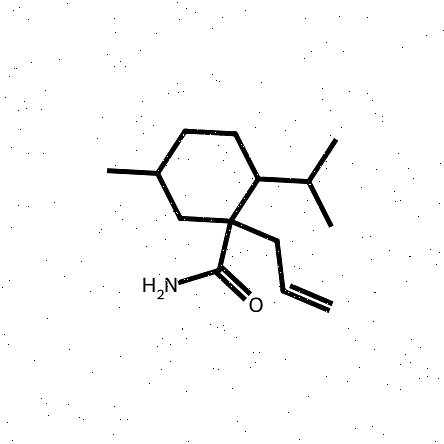 C=CCC1(C(N)=O)CC(C)CCC1C(C)C